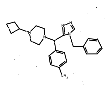 Nc1ccc(C(c2nncn2Cc2ccccc2)N2CCN(C3CCC3)CC2)cc1